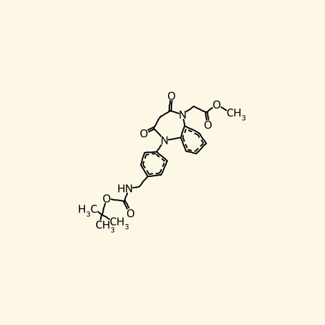 COC(=O)CN1C(=O)CC(=O)N(c2ccc(CNC(=O)OC(C)(C)C)cc2)c2ccccc21